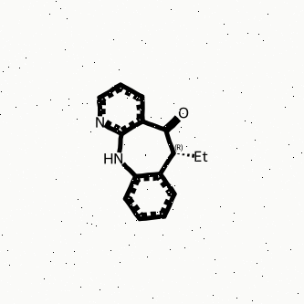 CC[C@H]1C(=O)c2cccnc2Nc2ccccc21